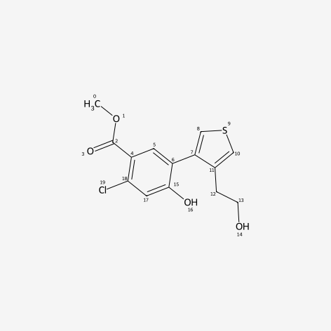 COC(=O)c1cc(-c2cscc2CCO)c(O)cc1Cl